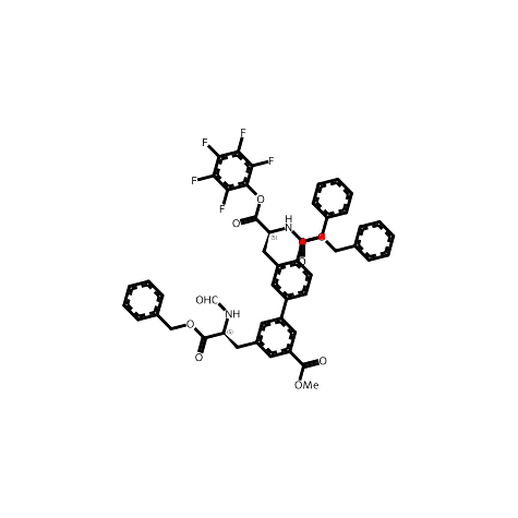 COC(=O)c1cc(C[C@H](NC=O)C(=O)OCc2ccccc2)cc(-c2ccc(OCc3ccccc3)c(C[C@H](NC(=O)OCc3ccccc3)C(=O)Oc3c(F)c(F)c(F)c(F)c3F)c2)c1